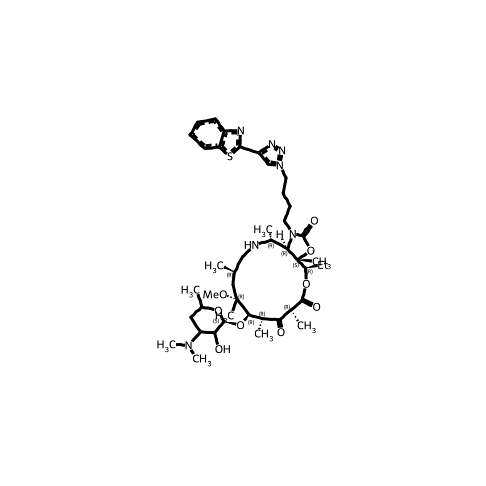 CC[C@H]1OC(=O)[C@H](C)C(=O)[C@H](C)[C@@H](O[C@@H]2OC(C)CC(N(C)C)C2O)[C@](C)(OC)C[C@@H](C)CN[C@H](C)[C@H]2N(CCCCn3cc(-c4nc5ccccc5s4)nn3)C(=O)O[C@]12C